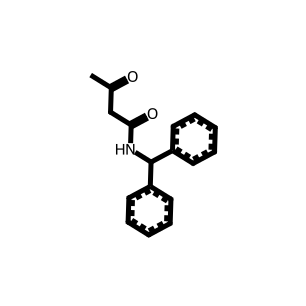 CC(=O)CC(=O)NC(c1ccccc1)c1ccccc1